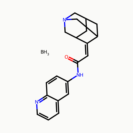 B.O=C(C=C1C2CC3CC1CN(C3)C2)Nc1ccc2ncccc2c1